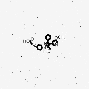 CCc1c(-c2cncc(OC)c2)c(-c2ccccc2)nn1C[C@H]1CC[C@H](COCC(=O)O)CC1